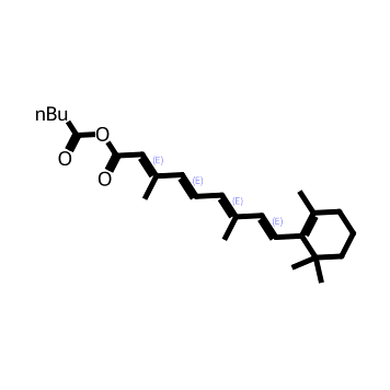 CCCCC(=O)OC(=O)/C=C(C)/C=C/C=C(C)/C=C/C1=C(C)CCCC1(C)C